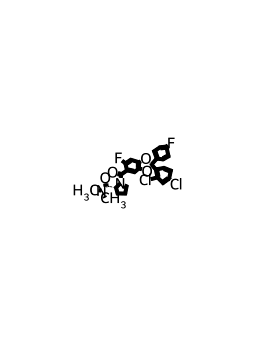 CN(C)C(=O)[C@H]1CCCN1C(=O)c1cc2c(cc1F)OC(c1ccc(F)cc1)(c1ccc(Cl)cc1Cl)O2